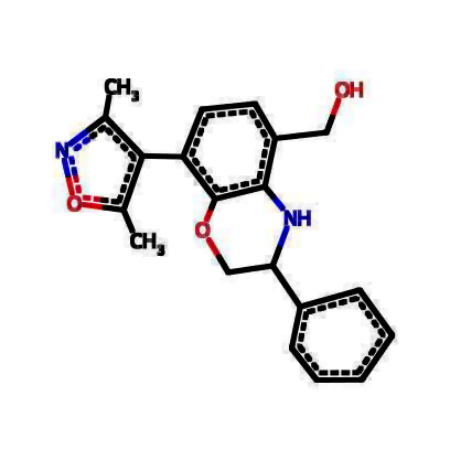 Cc1noc(C)c1-c1ccc(CO)c2c1OCC(c1ccccc1)N2